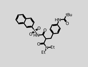 CCN(CC)C(=O)C(Cc1ccc(NC(=O)C(C)(C)C)cc1)C(=O)NS(=O)(=O)c1ccc2ccccc2c1